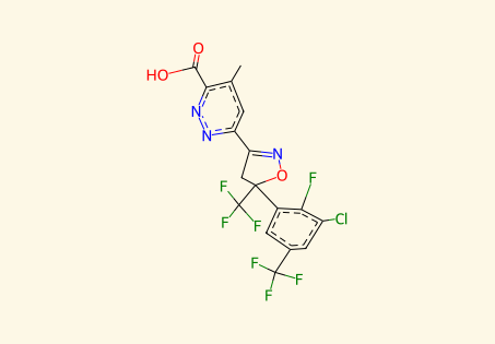 Cc1cc(C2=NOC(c3cc(C(F)(F)F)cc(Cl)c3F)(C(F)(F)F)C2)nnc1C(=O)O